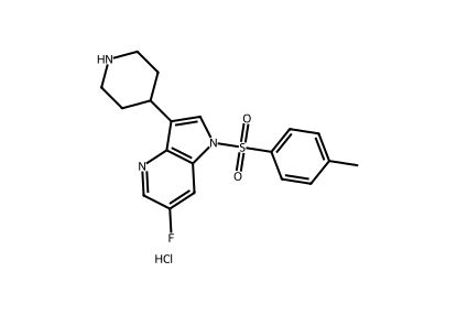 Cc1ccc(S(=O)(=O)n2cc(C3CCNCC3)c3ncc(F)cc32)cc1.Cl